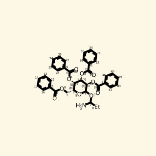 CCC(N)OC1O[C@H](COC(=O)c2ccccc2)[C@H](OC(=O)c2ccccc2)[C@H](OC(=O)c2ccccc2)[C@H]1OC(=O)c1ccccc1